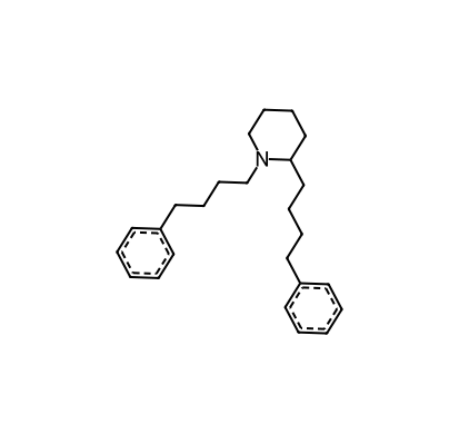 c1ccc(CCCCC2CCCCN2CCCCc2ccccc2)cc1